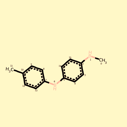 CBc1ccc(Bc2ccc(C)cc2)cc1